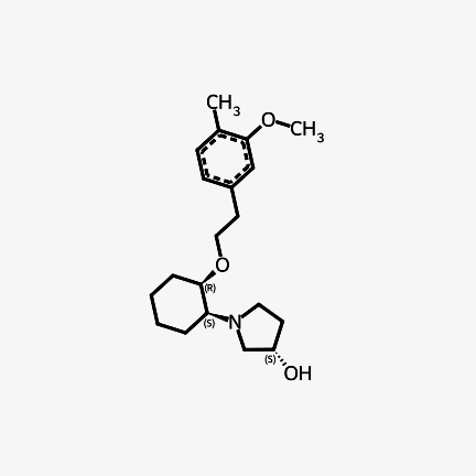 COc1cc(CCO[C@@H]2CCCC[C@@H]2N2CC[C@H](O)C2)ccc1C